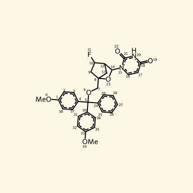 COc1ccc(C(OCC23CC(F)C(C2)C(n2ccc(=O)[nH]c2=O)O3)(c2ccccc2)c2ccc(OC)cc2)cc1